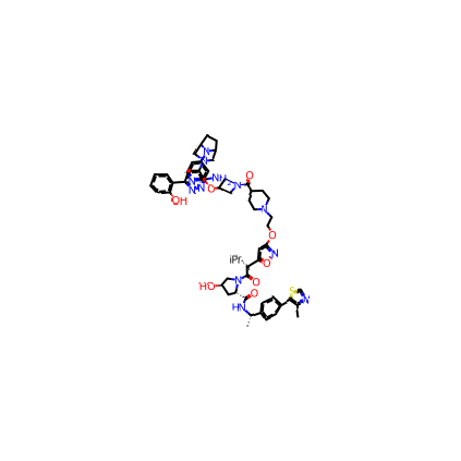 Cc1ncsc1-c1ccc([C@H](C)NC(=O)[C@@H]2C[C@@H](O)CN2C(=O)[C@@H](c2cc(OCCN3CCC(C(=O)N4CC(Oc5cc(N6C7CCC6CN(c6cc(-c8ccccc8O)nnc6N)C7)ccn5)C4)CC3)no2)C(C)C)cc1